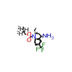 [2H]C([2H])([2H])COC(=O)N1c2ccc(C(F)(F)F)cc2[C@@H](N)C[C@H]1CC